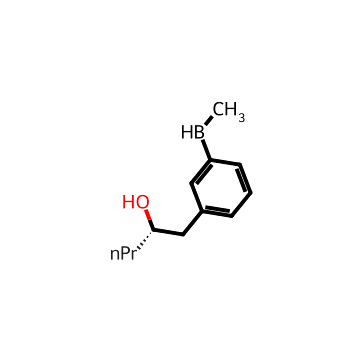 CBc1cccc(C[C@@H](O)CCC)c1